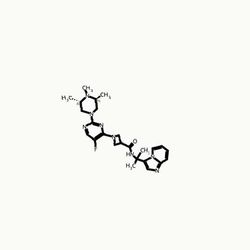 C[C@H]1CN(c2ncc(F)c(N3CC(C(=O)NC(C)(C)c4cnc5ccccn45)C3)n2)C[C@H](C)N1C